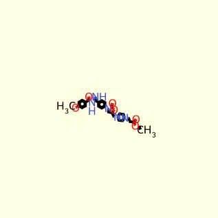 CCOC(=O)CCN1CCN(CC2CN(c3ccc(C(=N)NC(=O)c4ccc(OC)cc4)cc3)C(=O)O2)CC1